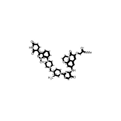 CNC(=O)COc1cc2cc(Nc3nc(N4CC[C@H](CN5CCN(c6cccc7c(C8CCC(=O)NC8=O)nn(C)c67)CC5)[C@H](C)C4)ncc3Cl)cc3c2n(c1=O)CCO3